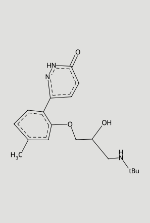 Cc1ccc(-c2ccc(=O)[nH]n2)c(OCC(O)CNC(C)(C)C)c1